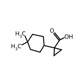 CC1(C)CCC(C2(C(=O)O)CC2)CC1